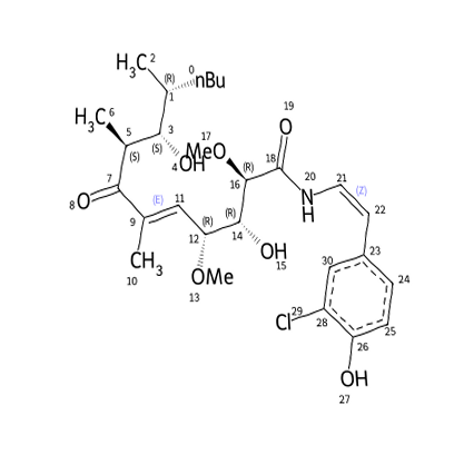 CCCC[C@@H](C)[C@H](O)[C@H](C)C(=O)/C(C)=C/[C@@H](OC)[C@@H](O)[C@@H](OC)C(=O)N/C=C\c1ccc(O)c(Cl)c1